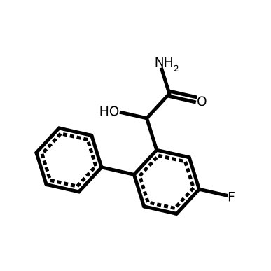 NC(=O)C(O)c1cc(F)ccc1-c1ccccc1